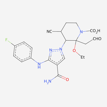 CCOC1(CC=O)C(n2cc(C(N)=O)c(Nc3ccc(F)cc3)n2)C(C#N)CCN1C(=O)O